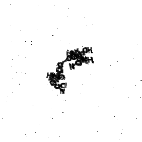 C[C@H](NC(=O)[C@@H]1C[C@@H](O)CN1C(=O)[C@@H](NC(=O)COCCCCOc1ccc(C(=O)N[C@H]2C(C)(C)[C@H](Oc3ccc(C#N)c(Cl)c3)C2(C)C)cc1)C(C)(C)C)c1ccc(C#N)cc1